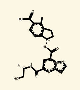 Cc1c(C(=O)O)ccc2c1CC[C@@H]2NC(=O)c1cc(C(=O)N[C@@H](C)CO)nc2ccnn12